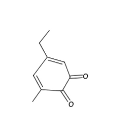 CCC1=CC(=O)C(=O)C(C)=C1